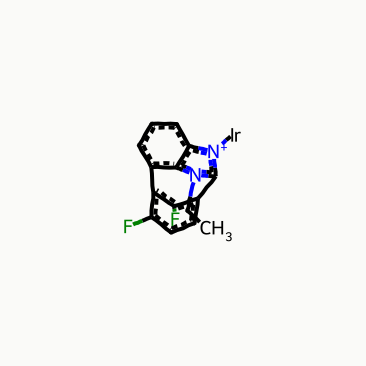 CCn1c2[n+]([Ir])c3cccc(c31)-c1c(F)ccc-2c1F